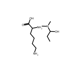 CCC(O)N(C)C.NCCCCC(N)C(=O)O